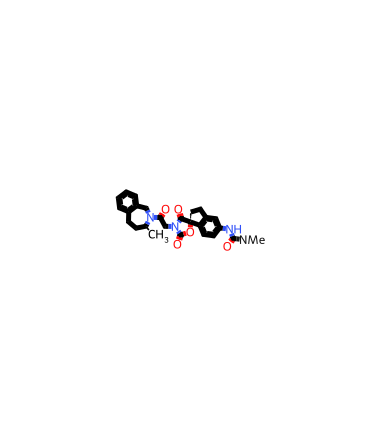 CNC(=O)Nc1ccc2c(c1)CC[C@@]21OC(=O)N(CC(=O)N2Cc3ccccc3CC[C@H]2C)C1=O